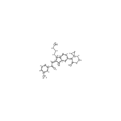 O=C(/N=c1\[nH]c2cc(N3C(=O)COCC34CC4)ccc2n1CCCO)c1cccc(C(F)(F)F)c1